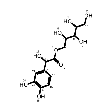 O=C(OCC(O)C(O)C(O)CO)C(O)c1ccc(O)c(O)c1